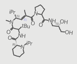 C/C(=C\[C@H](C(C)C)N(C)C(=O)C(NC(=O)[C@H]1CCCCN1C(C)C)C(C)(C)C)C(=O)N1CCCC1C(=O)NC[C@H](O)CO